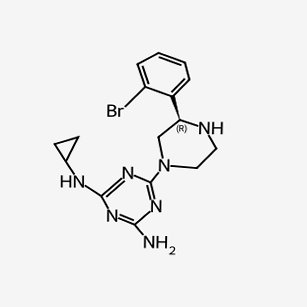 Nc1nc(NC2CC2)nc(N2CCN[C@H](c3ccccc3Br)C2)n1